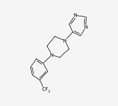 FC(F)(F)c1cccc(N2CCN(c3cncnc3)CC2)c1